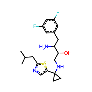 CC(C)Cc1ncc(C2(NC[C@@H](O)[C@@H](N)Cc3cc(F)cc(F)c3)CC2)s1